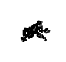 C[C@@H](C(O)C(F)(F)F)N(C)c1ccc2c(C#N)nccc2c1